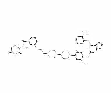 CCc1cc(Nc2nc(Nc3ccccc3P(C)(C)=O)c3cc[nH]c3n2)c(OC)cc1N1CCC(N2CCN(CCOc3cccc4c3CN(C3CCC(=O)NC3=O)C4=O)CC2)CC1